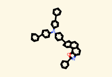 c1ccc(-c2ccc(N(c3ccc(-c4ccccc4)cc3)c3ccc(-c4ccc5c(ccc6ccc7nc(-c8ccccc8)oc7c65)c4)cc3)cc2)cc1